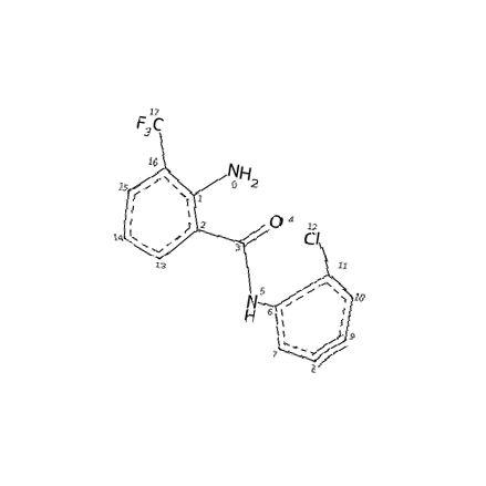 Nc1c(C(=O)Nc2cc#ccc2Cl)cccc1C(F)(F)F